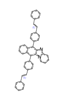 C(=C\c1ccc(-c2c3ccccc3c(-c3ccc(/C=C/c4ccccc4)cc3)c3c2nc2ccccn23)cc1)/c1ccccc1